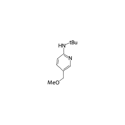 COCc1ccc(NC(C)(C)C)nc1